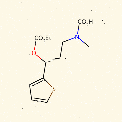 CCOC(=O)O[C@H](CCN(C)C(=O)O)c1cccs1